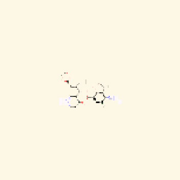 CC(CC1OCCO1)CC1CNCCC1OC(=O)c1cc(Cl)c(N)c2c1OCC2